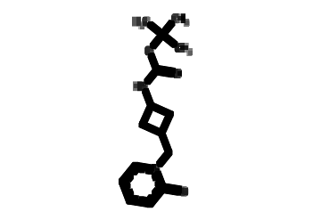 CC(C)(C)OC(=O)NC1CC(Cn2ccccc2=O)C1